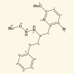 COc1ccc(Br)c(CC(CCc2ccccc2)NNOC(C)(C)C)n1